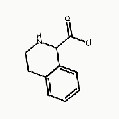 O=C(Cl)C1NCCc2ccccc21